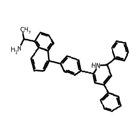 CC(N)c1cccc2c(-c3ccc(C4=CC(c5ccccc5)=CC(c5ccccc5)N4)cc3)cccc12